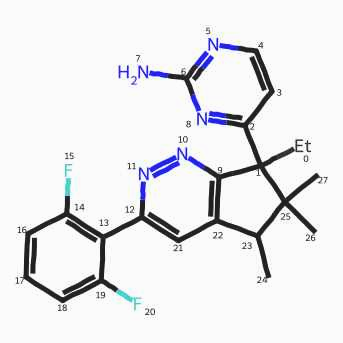 CCC1(c2ccnc(N)n2)c2nnc(-c3c(F)cccc3F)cc2C(C)C1(C)C